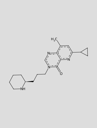 Cc1cc(C2CC2)nc2c(=O)n(CCC[C@@H]3CCCCN3)cnc12